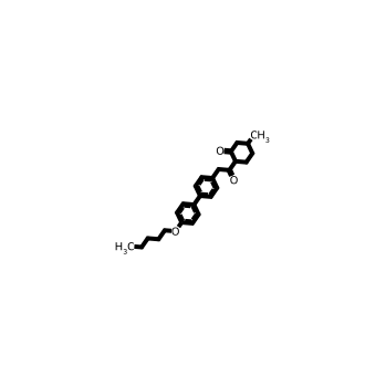 CCCCCOc1ccc(-c2ccc(CC(=O)C3CCC(C)CC3=O)cc2)cc1